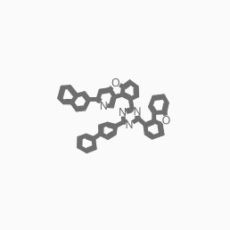 c1ccc(-c2ccc(-c3nc(-c4cccc5oc6ccccc6c45)nc(-c4cccc5oc6cc(-c7ccc8ccccc8c7)ncc6c45)n3)cc2)cc1